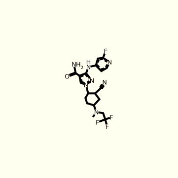 CN(CC(F)(F)F)C1CCC(n2cc(C(N)=O)c(Nc3ccnc(F)c3)n2)C(C#N)C1